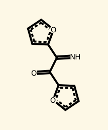 N=C(C(=O)c1ccco1)c1ccco1